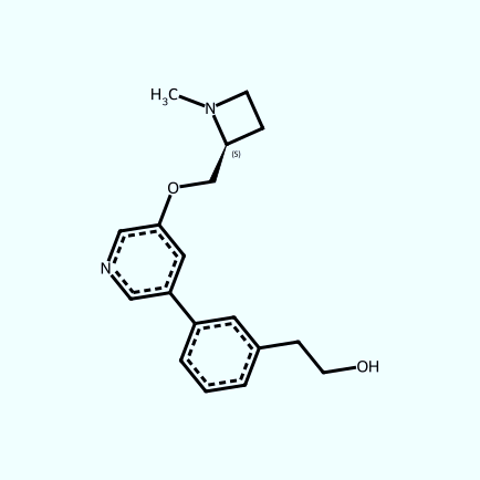 CN1CC[C@H]1COc1cncc(-c2cccc(CCO)c2)c1